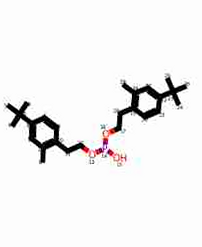 Cc1cc(C(C)(C)C)ccc1CCOP(O)OCCc1ccc(C(C)(C)C)cc1C